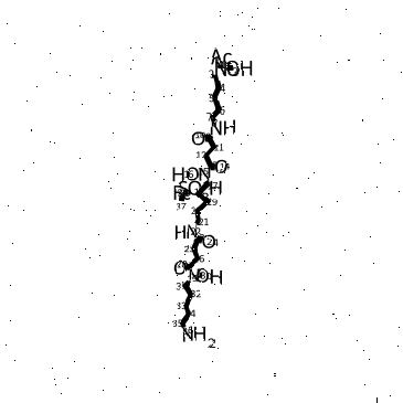 CC(=O)N(O)CCCCCNC(=O)CCC(=O)N(O)CCCCCNC(=O)CCC(=O)N(O)CCCCCN.CS(=O)(=O)O.[Fe]